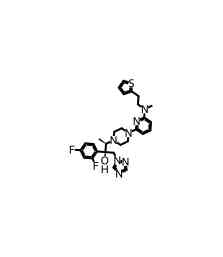 C[C@@H](N1CCN(c2cccc(N(C)CCc3cccs3)n2)CC1)[C@](O)(Cn1cncn1)c1ccc(F)cc1F